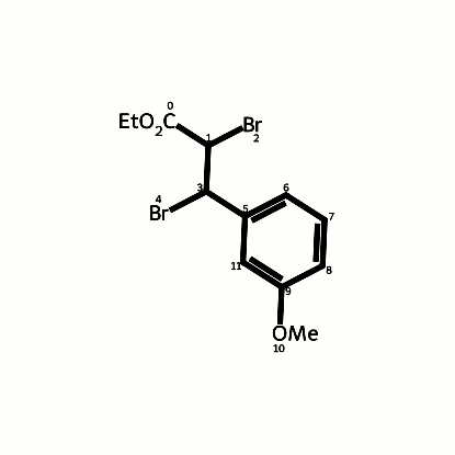 CCOC(=O)C(Br)C(Br)c1cccc(OC)c1